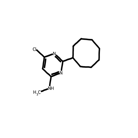 CNc1cc(Cl)nc(C2CCCCCCC2)n1